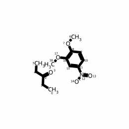 CCC(=O)CC.COc1ccc([N+](=O)[O-])cc1OC